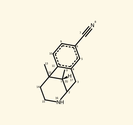 C[C@@H]1C2Cc3cc(C#N)ccc3C1(C)CCN2